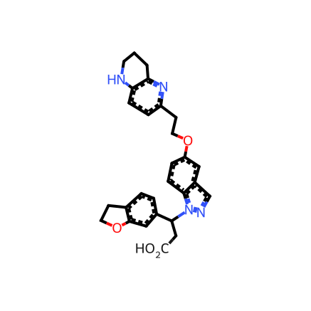 O=C(O)CC(c1ccc2c(c1)OCC2)n1ncc2cc(OCCc3ccc4c(n3)CCCN4)ccc21